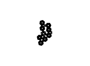 C1=CCC(n2c3ccccc3c3ccc(-c4nc(-c5ccccc5-c5ccccc5-c5ccccc5)nc(-c5cccc6sc7ccccc7c56)n4)cc32)C=C1